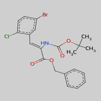 CC(C)(C)OC(=O)N/C(=C\c1cc(Br)ccc1Cl)C(=O)OCc1ccccc1